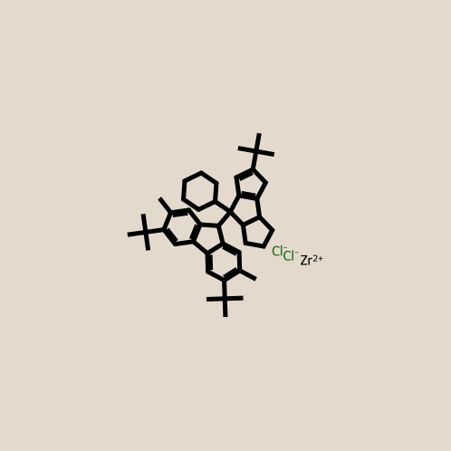 Cc1cc2c(cc1C(C)(C)C)-c1cc(C(C)(C)C)c(C)cc1C2C1(C2CCCCC2)C2=C(CC(C(C)(C)C)=C2)C2CCCC21.[Cl-].[Cl-].[Zr+2]